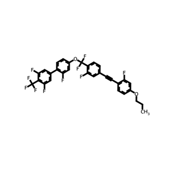 CCCOc1ccc(C#Cc2ccc(C(F)(F)Oc3ccc(-c4cc(F)c(C(F)(F)F)c(F)c4)c(F)c3)c(F)c2)c(F)c1